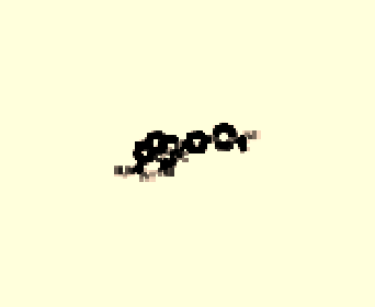 CC(=N)N1CCCN(c2ccc(N(Cc3ccc4ccc(C(=N)N)cc4c3)S(=O)(=O)CC(=O)O)cc2)CC1